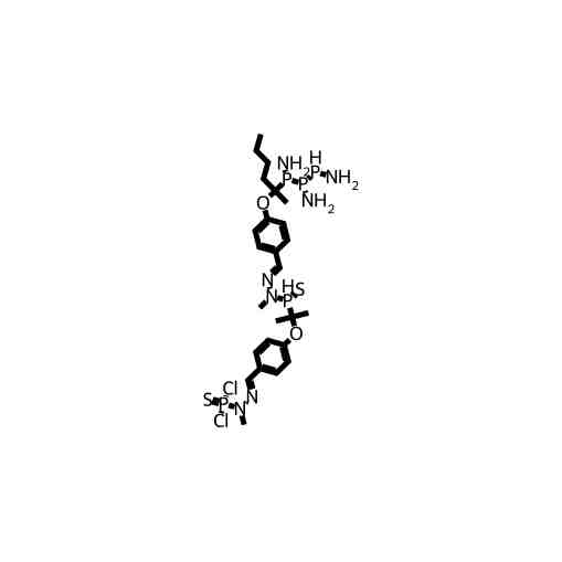 CCCCC(C)(Oc1ccc(/C=N/N(C)[PH](=S)C(C)(C)Oc2ccc(/C=N/N(C)P(=S)(Cl)Cl)cc2)cc1)P(N)P(N)PN